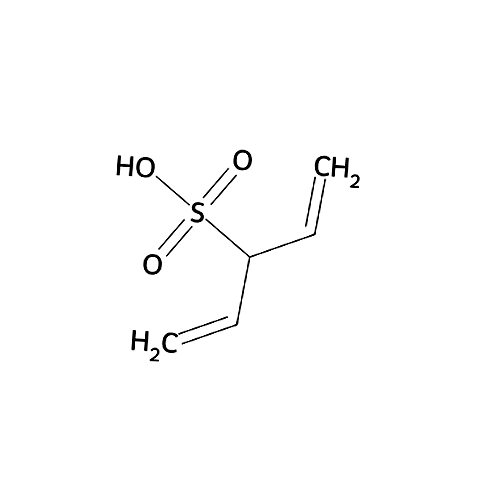 C=CC(C=C)S(=O)(=O)O